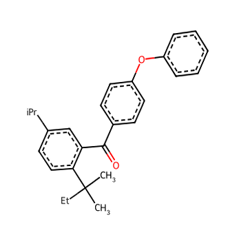 CCC(C)(C)c1ccc(C(C)C)cc1C(=O)c1ccc(Oc2ccccc2)cc1